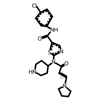 O=C(Nc1ccc(Cl)cc1)c1cnc(N(C(=O)/C=C/N2CCCC2)C2CCNCC2)s1